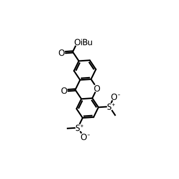 CC(C)COC(=O)c1ccc2oc3c([S+](C)[O-])cc([S+](C)[O-])cc3c(=O)c2c1